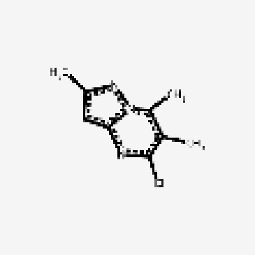 Cc1cc2nc(Cl)c(C)c(C)n2n1